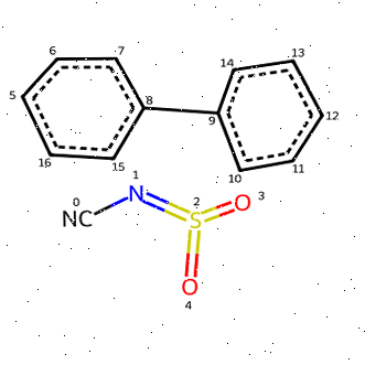 N#CN=S(=O)=O.c1ccc(-c2ccccc2)cc1